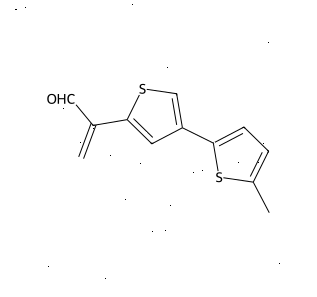 C=C(C=O)c1cc(-c2ccc(C)s2)cs1